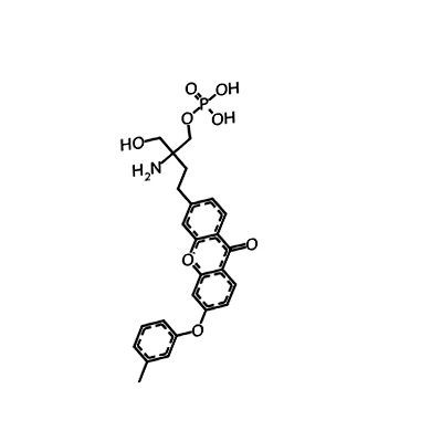 Cc1cccc(Oc2ccc3c(=O)c4ccc(CCC(N)(CO)COP(=O)(O)O)cc4oc3c2)c1